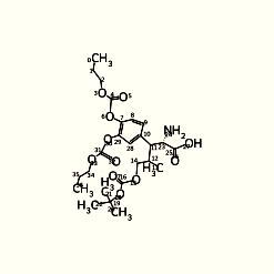 CCCOC(=O)Oc1ccc(C(C(C)COC(=O)OC(C)(C)C)[C@H](N)C(=O)O)cc1OC(=O)OCCC